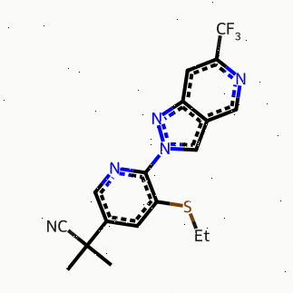 CCSc1cc(C(C)(C)C#N)cnc1-n1cc2cnc(C(F)(F)F)cc2n1